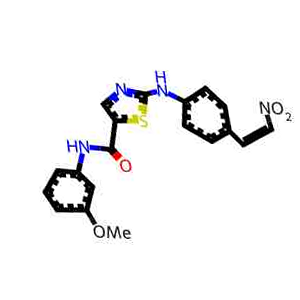 COc1cccc(NC(=O)c2cnc(Nc3ccc(/C=C\[N+](=O)[O-])cc3)s2)c1